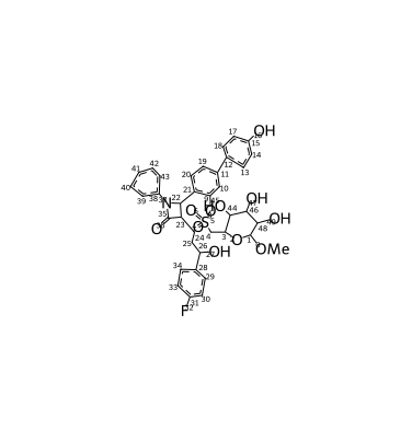 COC1OC(CS(=O)(=O)Oc2cc(-c3ccc(O)cc3)ccc2C2C(CCC(O)c3ccc(F)cc3)C(=O)N2c2ccccc2)C(O)C(O)C1O